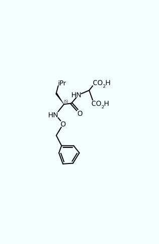 CC(C)C[C@H](NOCc1ccccc1)C(=O)NC(C(=O)O)C(=O)O